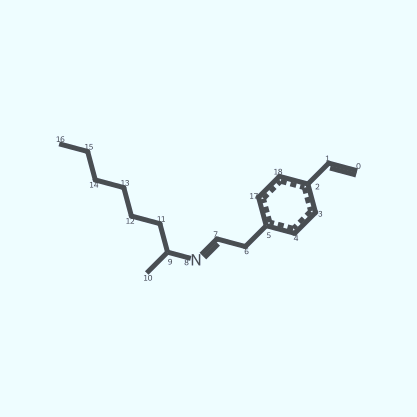 C=Cc1ccc(CC=NC(C)CCCCCC)cc1